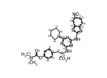 CN(C)C(=O)Oc1ccc(C[C@H](Nc2nc(Nc3nc4ccc([N+](=O)[O-])cc4s3)nc(N3CCCCC3)n2)C(=O)O)cc1